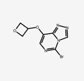 Brc1ncc(OC2COC2)c2nncn12